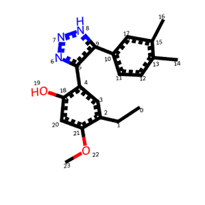 CCc1cc(-c2nn[nH]c2-c2ccc(C)c(C)c2)c(O)cc1OC